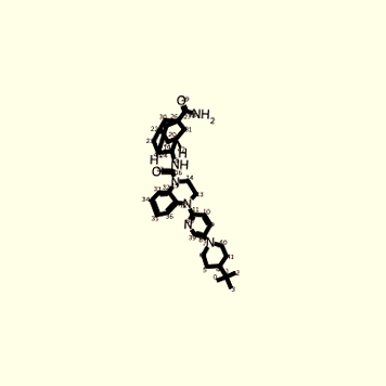 CC(C)(C)C1CCN(c2ccc(N3CCN(C(=O)NC4[C@@H]5CC6C[C@H]4CC(C(N)=O)(C6)C5)c4ccccc43)nc2)CC1